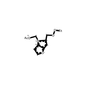 CCOOCc1cc2occc2n1COC(C)=O